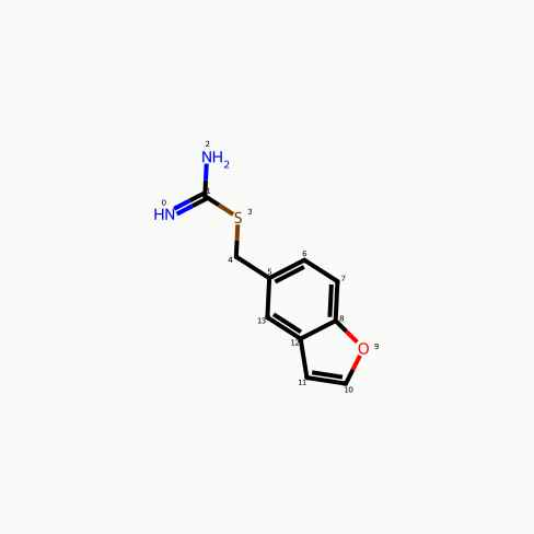 N=C(N)SCc1ccc2occc2c1